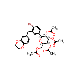 CC(=O)OC[C@H]1O[C@@H](c2ccc(Br)c(Cc3ccc4c(c3)OCCO4)c2)[C@H](OC(C)=O)[C@H](OC(C)=O)[C@@H]1OC(C)=O